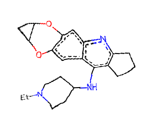 CCN1CCC(Nc2c3c(nc4cc5c(cc24)OC2CC2O5)CCC3)CC1